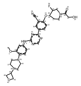 COc1cc(Nc2ncnc(-c3ccc(O[C@H]4CCN(C(=O)CO)CC4F)c(C#N)c3)n2)ccc1N1CCN(C2COC2)CC1